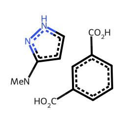 CNc1cc[nH]n1.O=C(O)c1cccc(C(=O)O)c1